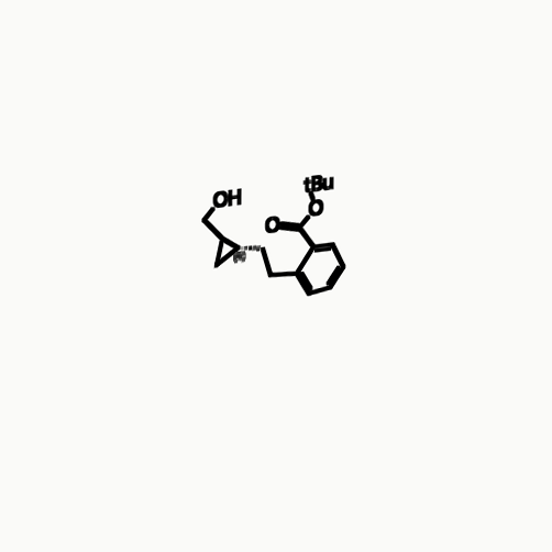 CC(C)(C)OC(=O)c1ccccc1CC[C@@H]1CC1CO